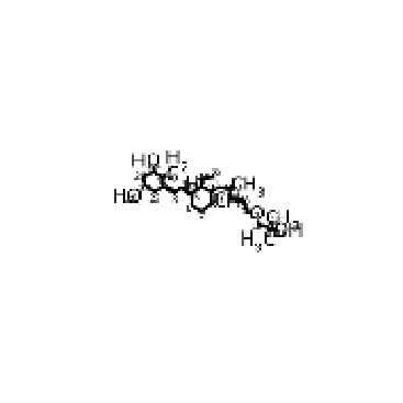 C=C1/C(=C\C=C2/CCC[C@]3(C)[C@@H]([C@H](C)/C=C/COCC(C)(C)O)CC[C@@H]23)C[C@@H](O)C[C@@H]1O